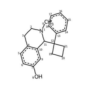 CN1CCc2ccc(O)cc2C1C1(c2ccccc2)CCC1